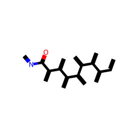 C=CC(=C)C(=C)C(=C)C(=C)C(=C)C(=C)C(=C)C(=O)N=C